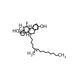 CCCCCCCCCN(C)CCCCC[C@@H]1Cc2cc(O)ccc2[C@@H]2[C@@H]1[C@@H]1CC[C@H](O)[C@@]1(C)C[C@@H]2F